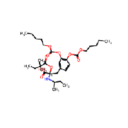 CCCCCOC(=O)Oc1ccc(C[C@](NC(C)CC)(OC(=O)C(C)(C)CC)C(=O)O)cc1OC(=O)OCCCCC